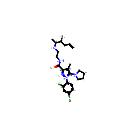 C=CCC(CC)C(C)NCCNC(=O)c1nn(-c2ccc(Cl)cc2Cl)c(N2CCCC2)c1C